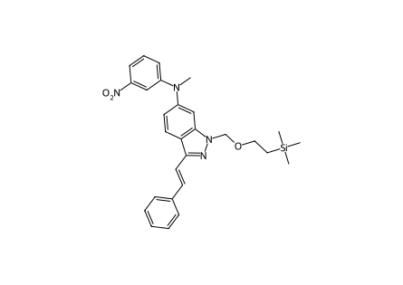 CN(c1cccc([N+](=O)[O-])c1)c1ccc2c(C=Cc3ccccc3)nn(COCC[Si](C)(C)C)c2c1